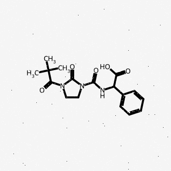 CC(C)(C)C(=O)N1CCN(C(=O)NC(C(=O)O)c2ccccc2)C1=O